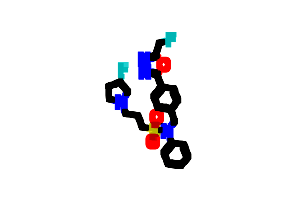 O=S(=O)(CCCN1CC[C@H](F)C1)N(Cc1ccc(-c2nnc(CF)o2)cc1)c1ccccc1